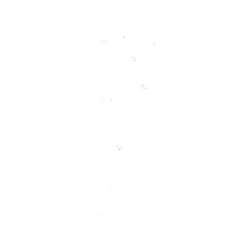 C[C@@H]1CCOC2Cn3cc(C(=O)C(=O)NCc4ccc(F)cc4F)c(O)c3C(=O)N21